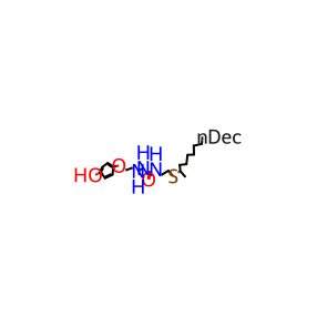 CCCCCCCCCCCCCCCCC(C)SCCNC(=O)NNCCOc1ccc(O)cc1